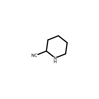 N#CC1CCCCN1